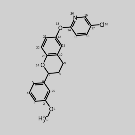 COc1cccc(C2CCc3cc(Oc4ccc(Cl)cn4)ccc3O2)c1